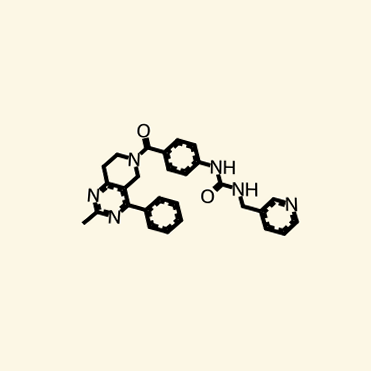 Cc1nc2c(c(-c3ccccc3)n1)CN(C(=O)c1ccc(NC(=O)NCc3cccnc3)cc1)CC2